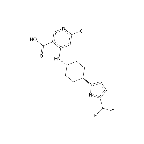 O=C(O)c1cnc(Cl)cc1N[C@H]1CC[C@H](n2ccc(C(F)F)n2)CC1